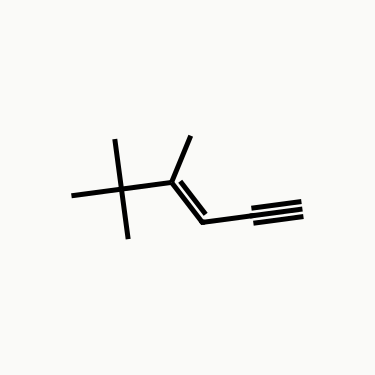 C#C/C=C(\C)C(C)(C)C